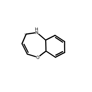 [C]1C=COC2C=CC=CC2N1